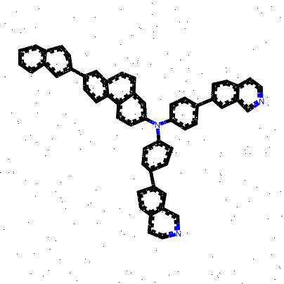 c1ccc2cc(-c3ccc4c(ccc5cc(N(c6ccc(-c7ccc8ccncc8c7)cc6)c6ccc(-c7ccc8ccncc8c7)cc6)ccc54)c3)ccc2c1